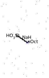 CCCCCCCC/C=C\CCCCCCCCOS(=O)(=O)O.[NaH]